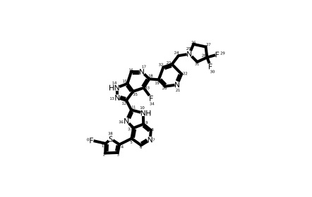 Fc1ccc(-c2cncc3[nH]c(-c4n[nH]c5cnc(-c6cncc(CN7CCC(F)(F)C7)c6)c(F)c45)nc23)s1